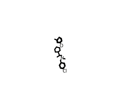 Cc1cccc(OC2CCCC(C(C)CN(C)Cc3ccc(Cl)cc3)C2)c1